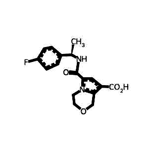 C[C@@H](NC(=O)c1cc(C(=O)O)c2n1CCOC2)c1ccc(F)cc1